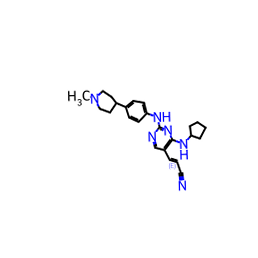 CN1CCC(c2ccc(Nc3ncc(/C=C/C#N)c(NC4CCCC4)n3)cc2)CC1